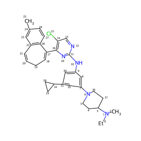 CCN(C)C1CCN(c2cc(Nc3ncc(Cl)c(C4=CCC=Cc5cc(C)ccc54)n3)cc(C3CC3)c2)CC1